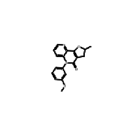 COc1cccc(-n2c(=O)c3c(c4ncccc42)OC(C)C3)c1